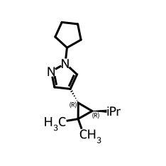 CC(C)[C@@H]1[C@@H](c2cnn(C3CCCC3)c2)C1(C)C